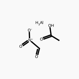 CC(=O)O.O=C[N+](=O)[O-].[AlH3]